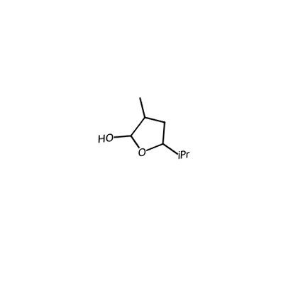 CC(C)C1CC(C)C(O)O1